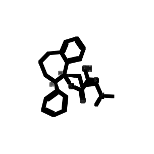 CN(C)CCC[C@]1(OC(=O)C(=O)O)c2ccccc2CCC[C@@H]1c1ccccc1